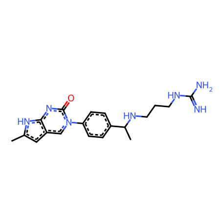 Cc1cc2cn(-c3ccc(C(C)NCCCNC(=N)N)cc3)c(=O)nc2[nH]1